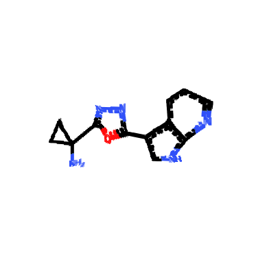 NC1(c2nnc(-c3c[nH]c4ncccc34)o2)CC1